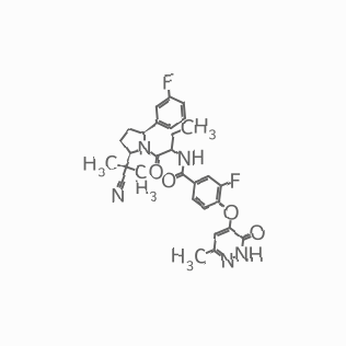 CCC(NC(=O)c1ccc(Oc2cc(C)n[nH]c2=O)c(F)c1)C(=O)N1[C@H](c2cccc(F)c2)CC[C@@H]1C(C)(C)C#N